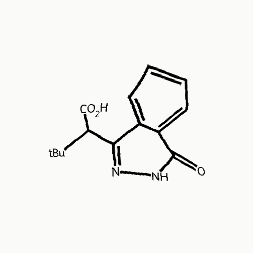 CC(C)(C)C(C(=O)O)c1n[nH]c(=O)c2ccccc12